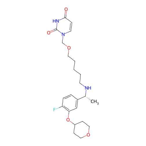 C[C@@H](NCCCCCOCn1ccc(=O)[nH]c1=O)c1ccc(F)c(OC2CCOCC2)c1